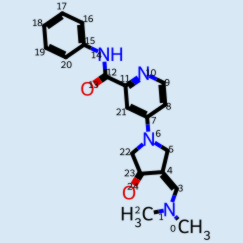 CN(C)/C=C1/CN(c2ccnc(C(=O)Nc3ccccc3)c2)CC1=O